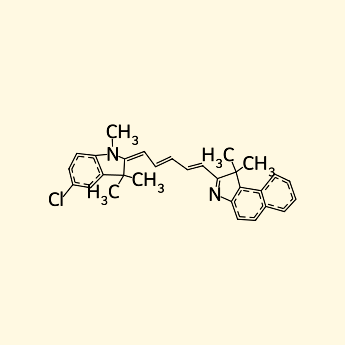 CN1/C(=C/C=C/C=C/C2=Nc3ccc4ccccc4c3C2(C)C)C(C)(C)c2cc(Cl)ccc21